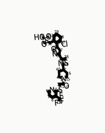 O=C(CSc1ncccc1C(F)(F)F)N1CCC(c2nc(C3=NOC(c4c(Cl)cccc4CS(=O)(=O)O)C3)cs2)CC1